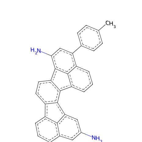 Cc1ccc(-c2cc(N)c3c4ccc5c6cccc7cc(N)cc(c76)c5c4c4cccc2c43)cc1